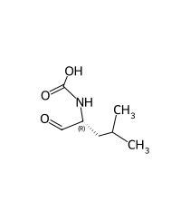 CC(C)C[C@H](C=O)NC(=O)O